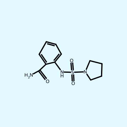 NC(=O)c1ccccc1NS(=O)(=O)N1CCCC1